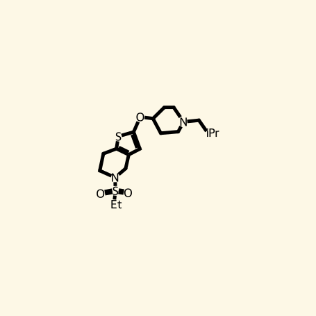 CCS(=O)(=O)N1CCc2sc(OC3CCN(CC(C)C)CC3)cc2C1